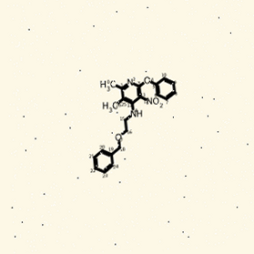 Cc1nc(Oc2ccccc2)c([N+](=O)[O-])c(NCCOCc2ccccc2)c1C